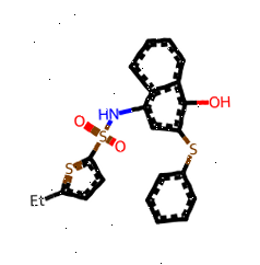 CCc1ccc(S(=O)(=O)Nc2cc(Sc3ccccc3)c(O)c3ccccc23)s1